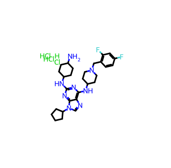 Cl.Cl.Cl.NC1CCC(Nc2nc(NC3CCN(Cc4ccc(F)cc4F)CC3)c3ncn(C4CCCC4)c3n2)CC1